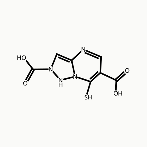 O=C(O)C1=C(S)N2NN(C(=O)O)C=C2N=C1